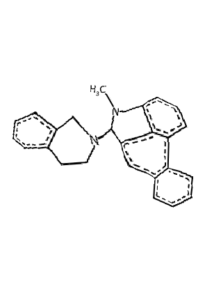 CN1c2cccc3c2c(cc2ccccc23)C1N1CCc2ccccc2C1